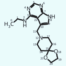 CCNc1ncnc2[nH]cc(CN3CCC4(CC3)OCCO4)c12